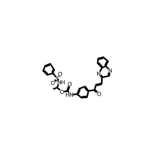 CC(NS(=O)(=O)c1ccccc1)OC(=O)Nc1ccc(C(=O)C=Cc2cnc3ccccc3n2)cc1